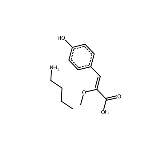 CCCCN.COC(=Cc1ccc(O)cc1)C(=O)O